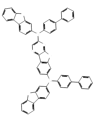 c1ccc(-c2ccc(N(c3ccc4c(c3)oc3ccccc34)c3ccc4c(c3)oc3nc(N(c5ccc(-c6ccccc6)cc5)c5ccc6c(c5)oc5ccccc56)cnc34)cc2)cc1